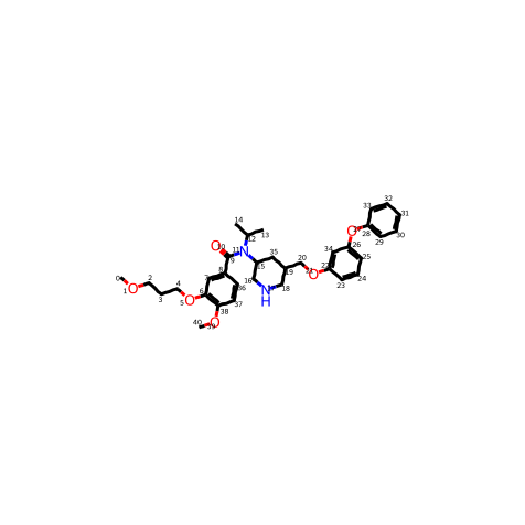 COCCCOc1cc(C(=O)N(C(C)C)C2CNCC(COc3cccc(Oc4ccccc4)c3)C2)ccc1OC